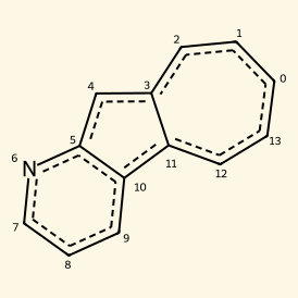 c1ccc2cc3ncccc3c-2cc1